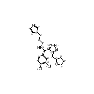 Clc1ccc(C(NCCCn2ccnc2)c2nnnn2CC2CCCO2)cc1Cl